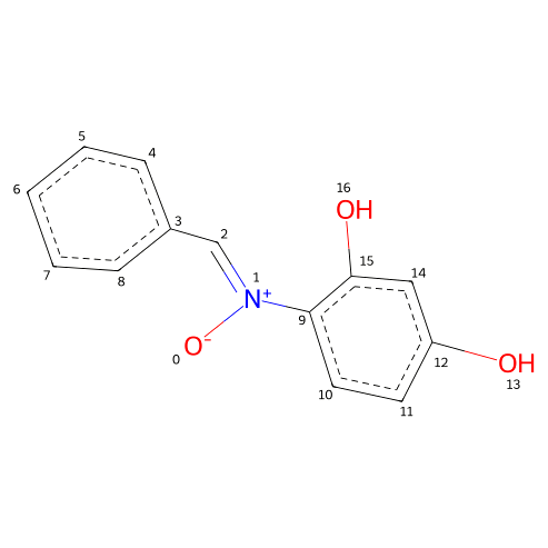 [O-][N+](=Cc1ccccc1)c1ccc(O)cc1O